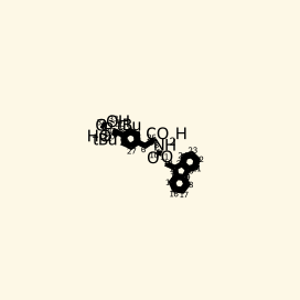 CC(C)(C)C(c1ccc(C[C@H](NC(=O)OCC2c3ccccc3-c3ccccc32)C(=O)O)cc1)(C(C)(C)C)P(=O)(O)O